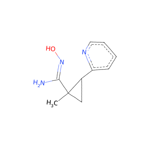 CC1(C(N)=NO)CC1c1ccccn1